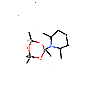 CC1CCCC(C)N1[Si]1(C)O[SiH](C)O[SiH](C)O1